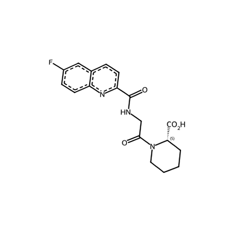 O=C(NCC(=O)N1CCCC[C@H]1C(=O)O)c1ccc2cc(F)ccc2n1